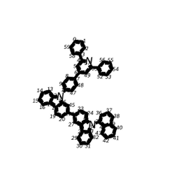 c1ccc(-c2cc(-c3ccc(-n4c5ccccc5c5ccc(-c6ccc7c(c6)c6ccccc6n7-c6cccc7ccccc67)cc54)cc3)cc(-c3ccccc3)n2)cc1